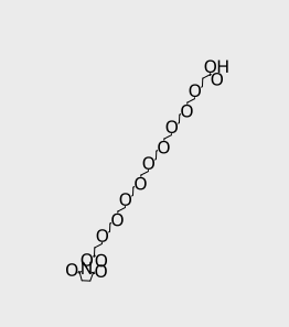 O=C(O)CCOCCOCCOCCOCCOCCOCCOCCOCCOCCC(=O)ON1C(=O)CCC1=O